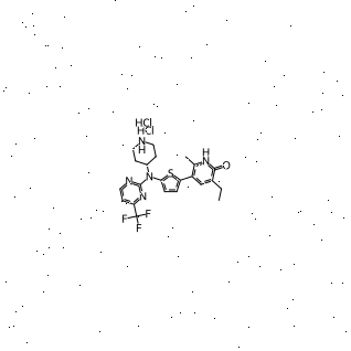 CCc1cc(-c2ccc(N(c3nccc(C(F)(F)F)n3)C3CCNCC3)s2)c(C)[nH]c1=O.Cl.Cl